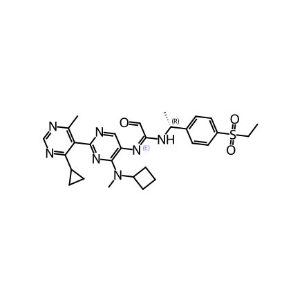 CCS(=O)(=O)c1ccc([C@@H](C)N/C(C=O)=N/c2cnc(-c3c(C)ncnc3C3CC3)nc2N(C)C2CCC2)cc1